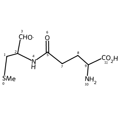 CSCC([C]=O)NC(=O)CCC(N)C(=O)O